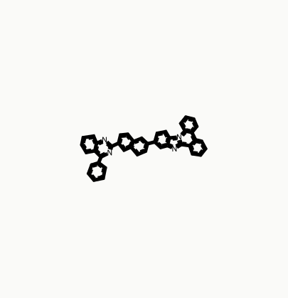 c1ccc(-c2nc(-c3ccc4cc(-c5ccc6c(c5)nc5c7ccccc7c7ccccc7n65)ccc4c3)nc3ccccc23)cc1